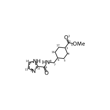 COC(=O)C1CCC(CNC(=O)c2ncc[nH]2)CC1